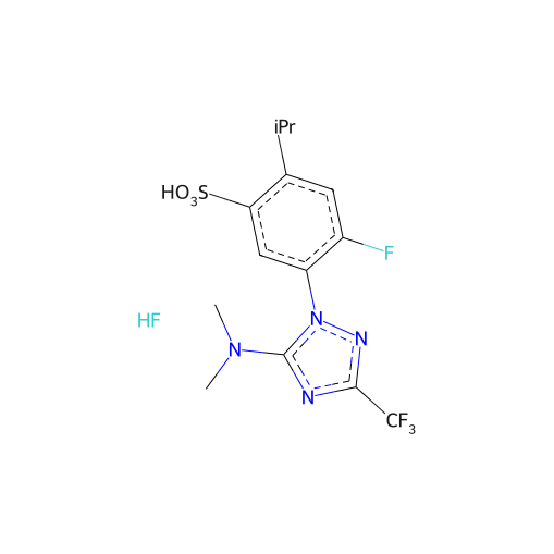 CC(C)c1cc(F)c(-n2nc(C(F)(F)F)nc2N(C)C)cc1S(=O)(=O)O.F